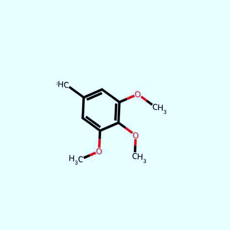 [CH]c1cc(OC)c(OC)c(OC)c1